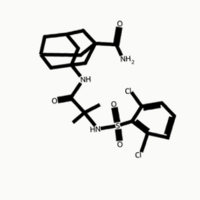 CC(C)(NS(=O)(=O)c1c(Cl)cccc1Cl)C(=O)NC12CC3CC(C1)CC(C(N)=O)(C3)C2